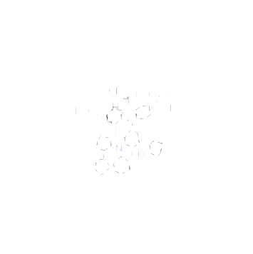 Cc1cc(C(C)(C)C)ccc1N1c2cc3c(cc2B2c4ccc5sc6ccccc6c5c4N(c4ccccc4C)c4cc(-c5ccccc5)cc1c42)C(C)(C)CCC3(C)C